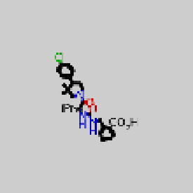 CC(C)[C@@H](NC(=O)NCc1ccccc1C(=O)O)C(=O)N1CCC(c2ccc(Cl)cc2)C(C)(C)C1